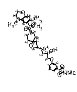 CNS(=O)(=O)c1cccc(OC[C@@H](O)CN[C@H]2COC3(CCN(S(=O)(=O)c4cc5c(nc4N(C)C)OCCN5C)CC3)C2)c1